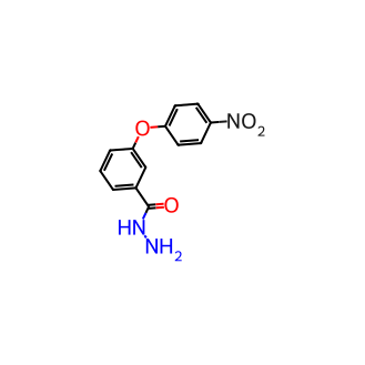 NNC(=O)c1cccc(Oc2ccc([N+](=O)[O-])cc2)c1